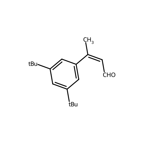 C/C(=C/C=O)c1cc(C(C)(C)C)cc(C(C)(C)C)c1